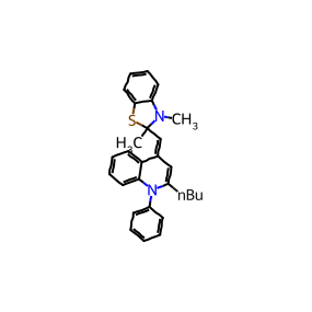 CCCCC1=C/C(=C/C2(C)Sc3ccccc3N2C)c2ccccc2N1c1ccccc1